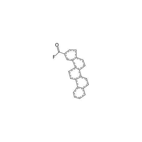 O=C(F)c1ccc2ccc3c(ccc4c5ccccc5ccc43)c2c1